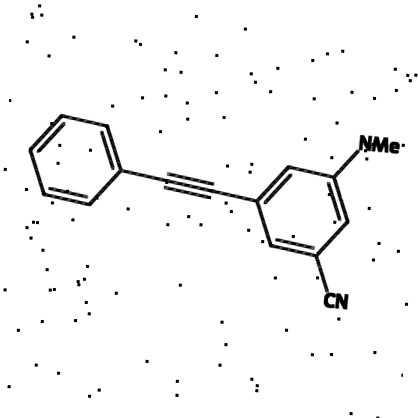 CNc1cc(C#N)cc(C#Cc2ccccc2)c1